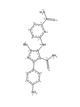 CC(C)(C)n1nc(-c2ccc([N+](=O)[O-])cc2)c(C(N)=O)c1Nc1cccc(C(N)=O)n1